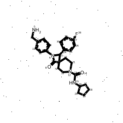 NCc1ccc(N2C(=O)C3(CCN(C(=O)NC4CCCC4)CC3)C2c2ccc(F)cc2)cc1